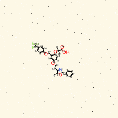 Cc1oc(-c2ccccc2)nc1CCOc1ccc(OC(C)(C)C(=O)O)c(COc2ccc(C(F)(F)F)cc2)c1